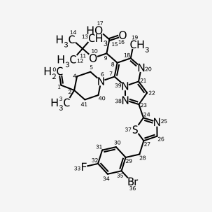 C=CC1(C)CCN(c2c(C(OC(C)(C)C)C(=O)O)c(C)nc3cc(-c4ncc(Cc5ccc(F)cc5Br)s4)nn23)CC1